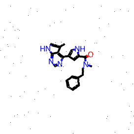 Cc1c[nH]c2ncnc(-c3c[nH]c(C(=O)N(C)CCc4ccccc4)c3)c12